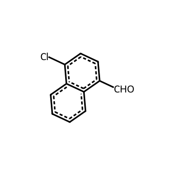 O=Cc1ccc(Cl)c2ccccc12